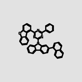 c1ccc(-c2nc(-c3cccc4oc5ccccc5c34)nc(-n3c4ccccc4c4ccc(-c5cccc6ccccc56)cc43)n2)cc1